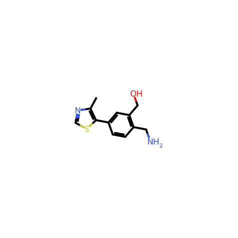 Cc1ncsc1-c1ccc(CN)c(CO)c1